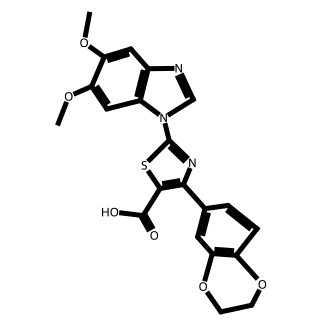 COc1cc2ncn(-c3nc(-c4ccc5c(c4)OCCO5)c(C(=O)O)s3)c2cc1OC